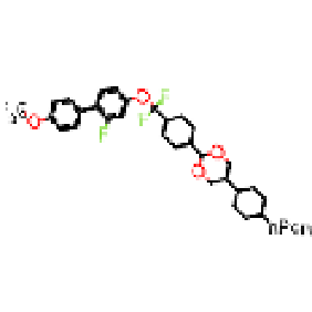 CCCCCC1CCC(C2COC(C3CCC(C(F)(F)Oc4ccc(-c5ccc(OC(F)(F)F)cc5)c(F)c4)CC3)OC2)CC1